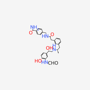 C[C@H](Cc1cccc(CC(=O)NCc2ccc(C(N)=O)cc2)c1)NC[C@@H](O)c1ccc(O)c(NC=O)c1